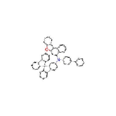 c1ccc(-c2ccc(N(c3ccc4c(c3)C3(c5ccccc5-c5ccccc53)c3ccccc3-4)c3cc4oc5ccccc5c4c4ccccc34)cc2)cc1